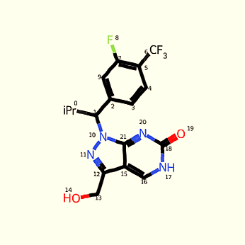 CC(C)C(c1ccc(C(F)(F)F)c(F)c1)n1nc(CO)c2c[nH]c(=O)nc21